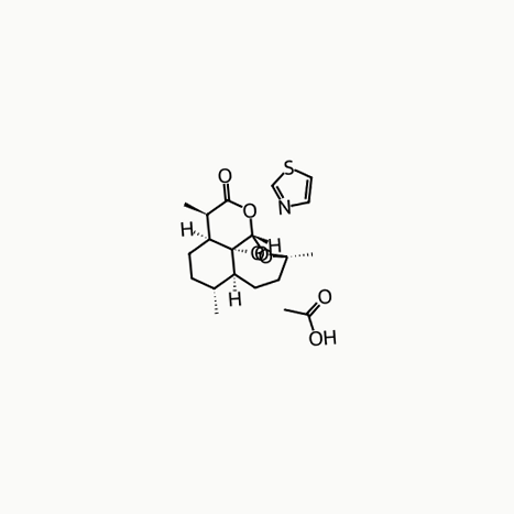 CC(=O)O.C[C@@H]1CC[C@H]2[C@@H](C)C(=O)O[C@@H]3O[C@]4(C)CC[C@@H]1[C@]32OO4.c1cscn1